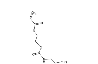 C=CC(=O)OCCOC(=O)NCCCCCCCCCC